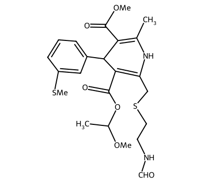 COC(=O)C1=C(C)NC(CSCCNC=O)=C(C(=O)OC(C)OC)C1c1cccc(SC)c1